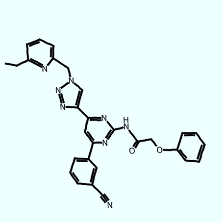 CCc1cccc(Cn2cc(-c3cc(-c4cccc(C#N)c4)nc(NC(=O)COc4ccccc4)n3)nn2)n1